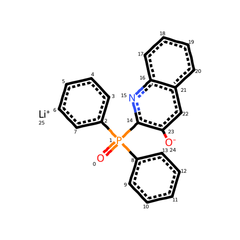 O=P(c1ccccc1)(c1ccccc1)c1nc2ccccc2cc1[O-].[Li+]